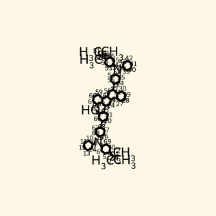 C[Si](C)(C)c1ccc(N(c2ccccc2)c2ccc(-c3ccc(-c4cc5c6ccccc6c(-c6ccc(N(c7ccccc7)c7ccc([Si](C)(C)C)cc7)cc6)cc5c5ccccc45)c(O)c3)cc2)cc1